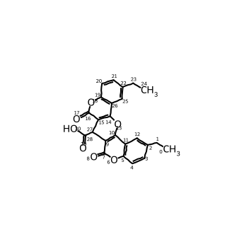 CCc1ccc2oc(=O)c3c(c2c1)Oc1c(c(=O)oc2ccc(CC)cc12)C3C(=O)O